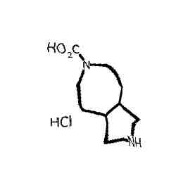 Cl.O=C(O)N1CCC2CNCC2CC1